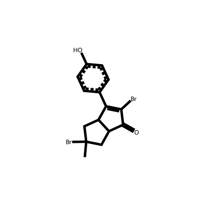 CC1(Br)CC2C(=O)C(Br)=C(c3ccc(O)cc3)C2C1